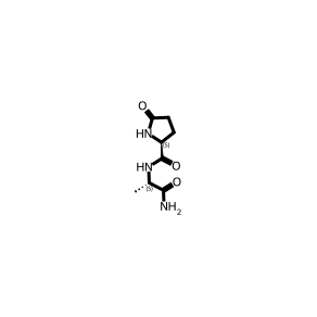 C[C@H](NC(=O)[C@@H]1CCC(=O)N1)C(N)=O